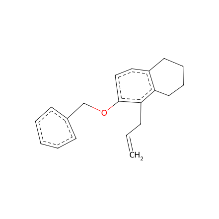 C=CCc1c(OCc2ccccc2)ccc2c1CCCC2